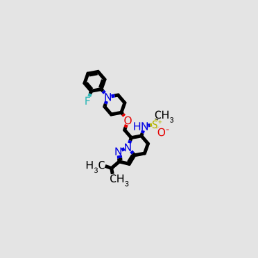 CC(C)c1cc2n(n1)C(COC1CCN(c3ccccc3F)CC1)C(N[S+](C)[O-])CC2